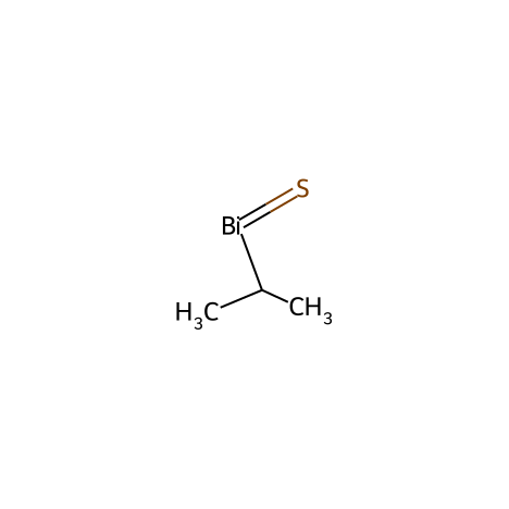 C[CH](C)[Bi]=[S]